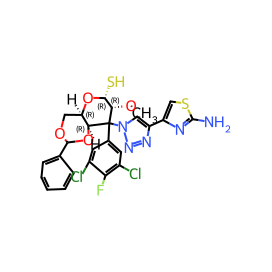 CO[C@H]1[C@@H](S)O[C@@H]2COC(c3ccccc3)O[C@@H]2C1(c1cc(Cl)c(F)c(Cl)c1)n1cc(-c2csc(N)n2)nn1